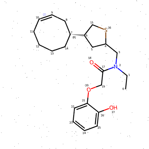 CCN(CC1CC([C@H]2C/C=C\CCCC2)CS1)C(=O)COc1ccccc1O